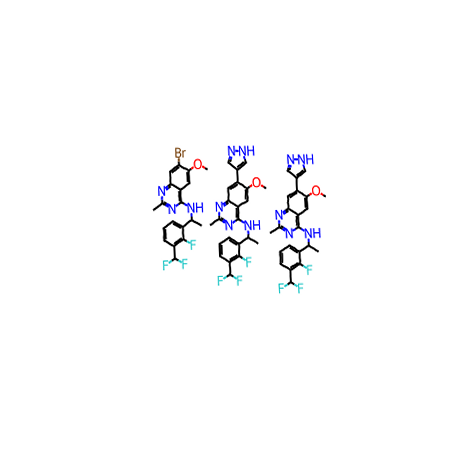 COc1cc2c(NC(C)c3cccc(C(F)F)c3F)nc(C)nc2cc1-c1cn[nH]c1.COc1cc2c(NC(C)c3cccc(C(F)F)c3F)nc(C)nc2cc1-c1cn[nH]c1.COc1cc2c(NC(C)c3cccc(C(F)F)c3F)nc(C)nc2cc1Br